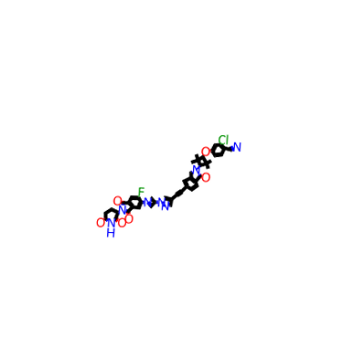 CC1(C)[C@H](Oc2ccc(C#N)c(Cl)c2)C(C)(C)[C@H]1N1Cc2cc(C#Cc3cnn(C4CN(c5cc6c(cc5F)C(=O)N(C5CCC(=O)NC5=O)C6=O)C4)c3)ccc2C1=O